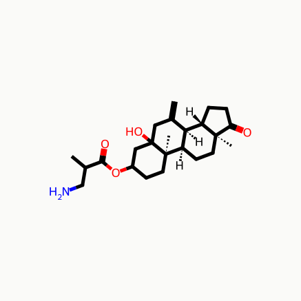 C=C1CC2(O)CC(OC(=O)C(C)CN)CC[C@]2(C)[C@@H]2CC[C@]3(C)C(=O)CC[C@H]3[C@H]12